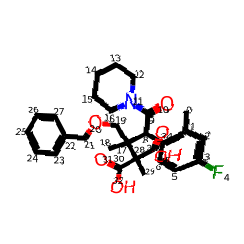 Cc1cc(F)ccc1C(C(=O)N1CCCCC1)C(C)(COCc1ccccc1)C(C)(C(=O)O)C(=O)O